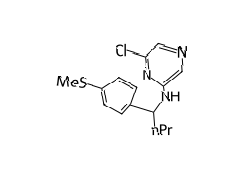 CCCC(Nc1cncc(Cl)n1)c1ccc(SC)cc1